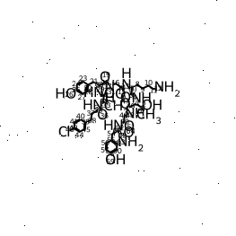 CC(O)C(NC(=O)[C@H](CCCCN)NC(=O)CNC(=O)[C@H](Cc1ccc(O)cc1)NC(=O)[C@@H](C)NC(=O)CCc1ccc(Cl)cc1)C(=O)NCC(=O)N[C@H](Cc1ccc(O)cc1)C(N)=O